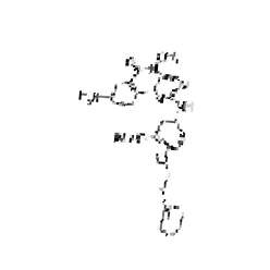 COc1cc(Nc2ncc3c(n2)c2ccc(N)cc2c(=O)n3C)ccc1OCCN1CCCC1